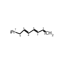 C=C/C=C/C=C/CC(C)C